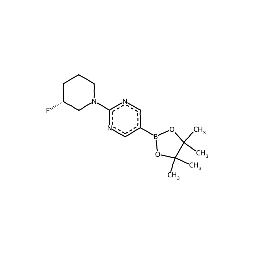 CC1(C)OB(c2cnc(N3CCC[C@@H](F)C3)nc2)OC1(C)C